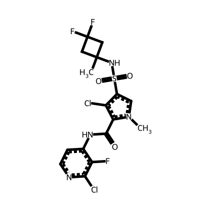 Cn1cc(S(=O)(=O)NC2(C)CC(F)(F)C2)c(Cl)c1C(=O)Nc1ccnc(Cl)c1F